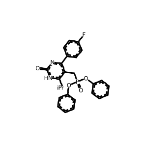 CC(C)c1[nH]c(=O)nc(-c2ccc(F)cc2)c1CP(=O)(Oc1ccccc1)Oc1ccccc1